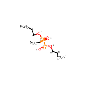 CP(=O)(OCCC(=O)O)[PH](=O)OCCC(=O)O